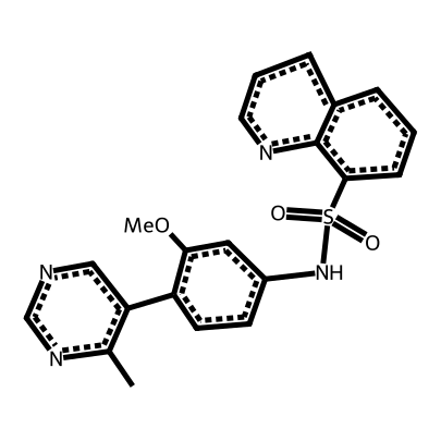 COc1cc(NS(=O)(=O)c2cccc3cccnc23)ccc1-c1cncnc1C